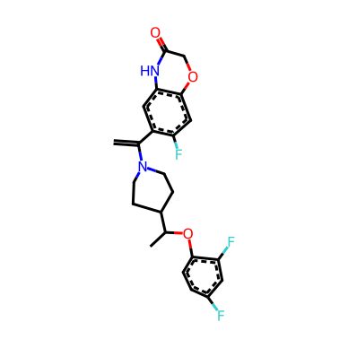 C=C(c1cc2c(cc1F)OCC(=O)N2)N1CCC(C(C)Oc2ccc(F)cc2F)CC1